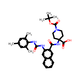 Cc1cc(C)c(NC(=O)Nc2cc3ccccc3cc2C(=O)NC2(C(=O)O)CCN(C(=O)OC(C)(C)C)CC2)c(C)c1